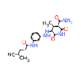 CC1=C(C(N)=O)C(=O)NC(=O)/C1=N\Nc1cccc(NC(=O)CCC(C)C#N)c1